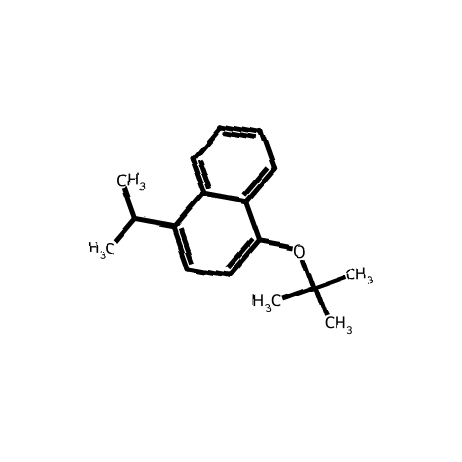 CC(C)c1ccc(OC(C)(C)C)c2ccccc12